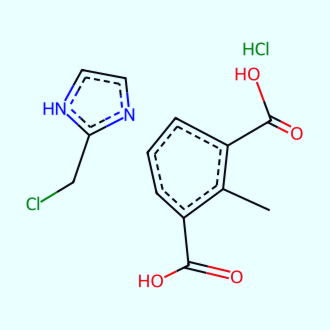 Cc1c(C(=O)O)cccc1C(=O)O.Cl.ClCc1ncc[nH]1